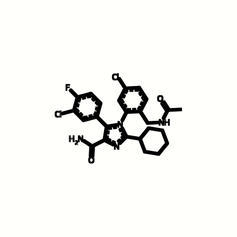 CC(=O)NCc1ccc(Cl)cc1-n1c(C2CCCCC2)nc(C(N)=O)c1-c1ccc(F)c(Cl)c1